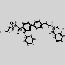 C[C@H](NCCc1ccc(-c2ccc(C(=O)NS(=O)(=O)CCO)c(OC3CCCCC3)c2)cc1)[C@@H](O)c1ccccc1